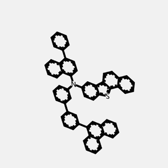 c1ccc(-c2ccc(N(c3cccc(-c4cccc(-c5cc6ccccc6c6ccccc56)c4)c3)c3ccc4sc5c6ccccc6ccc5c4c3)c3ccccc23)cc1